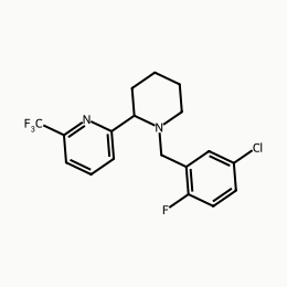 Fc1ccc(Cl)cc1CN1CCCCC1c1cccc(C(F)(F)F)n1